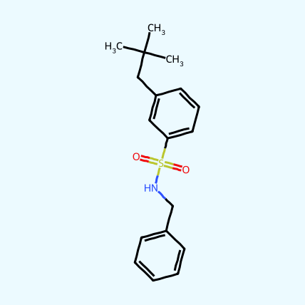 CC(C)(C)Cc1cccc(S(=O)(=O)NCc2ccccc2)c1